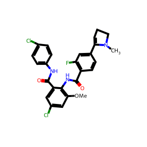 COc1cc(Cl)cc(C(=O)Nc2ccc(Cl)cc2)c1NC(=O)c1ccc(C2=CCCN2C)cc1F